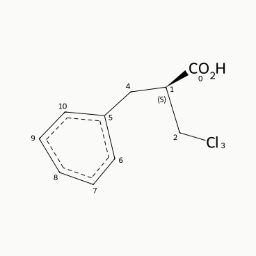 O=C(O)[C@@H](CCl)Cc1ccccc1